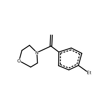 C=C(c1ccc(CC)cc1)N1CCOCC1